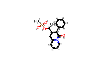 CC(OS(C)(=O)=O)c1cc2ccccn2c(=O)c1-c1ccccc1